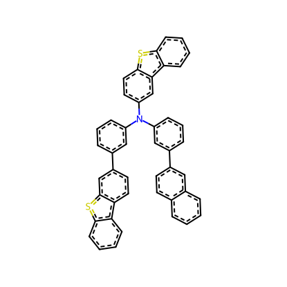 c1cc(-c2ccc3ccccc3c2)cc(N(c2cccc(-c3ccc4c(c3)sc3ccccc34)c2)c2ccc3sc4ccccc4c3c2)c1